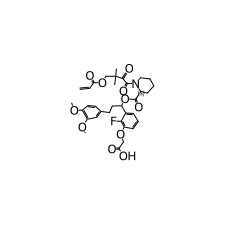 C=CC(=O)OCC(C)(C)C(=O)C(=O)N1CCCC[C@H]1C(=O)OC(CCc1ccc(OC)c(OC)c1)c1cccc(OCC(=O)O)c1F